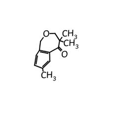 Cc1ccc2c(c1)C(=O)C(C)(C)COC2